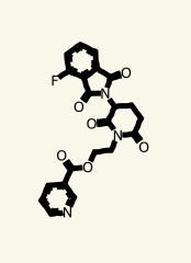 O=C(OCCN1C(=O)CCC(N2C(=O)c3cccc(F)c3C2=O)C1=O)c1cccnc1